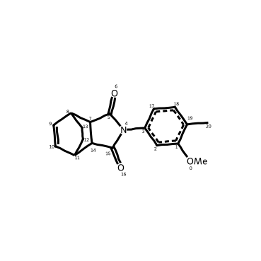 COc1cc(N2C(=O)C3C4C=CC(CC4)C3C2=O)ccc1C